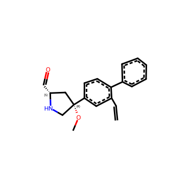 C=Cc1cc([C@@]2(OC)CN[C@H](C=O)C2)ccc1-c1ccccc1